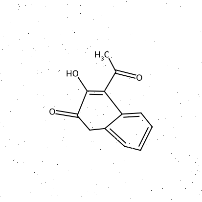 CC(=O)C1=C(O)C(=O)Cc2ccccc21